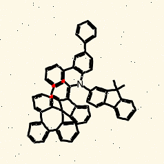 CC1(C)c2ccccc2-c2ccc(N(c3ccc(-c4ccccc4)cc3-c3ccccc3)c3cccc4c3-c3ccccc3C43c4ccccc4-c4ccccc4-c4ccccc43)cc21